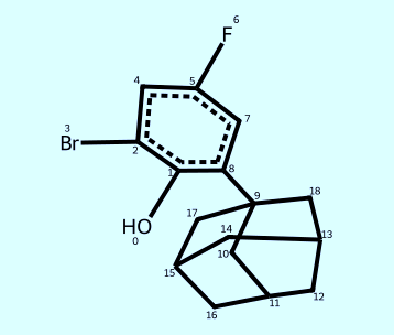 Oc1c(Br)cc(F)cc1C12CC3CC(CC(C3)C1)C2